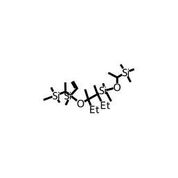 C=C[Si](C)(OC(C)(CC)C(C)(CC)[Si](C)(C)OC(C)[Si](C)(C)C)C(C)[Si](C)(C)C